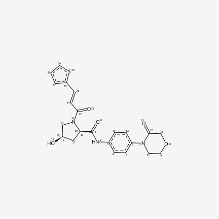 O=C(Nc1ccc(N2CCOCC2=O)cc1)[C@H]1C[C@@H](O)CN1C(=O)C=Cc1cccs1